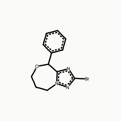 Brc1nc2n(n1)CCCOC2c1ccccc1